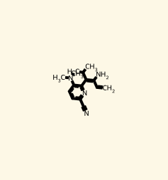 C=C/C(N)=C(\c1nc(C#N)ccc1N(C)C)C(C)C